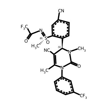 CC1=C(C#N)[C@@H](c2ccc(C#N)cc2[S@@](C)(=O)=NC(=O)C(F)(F)F)N(C)C(=O)N1c1cccc(C(F)(F)F)c1